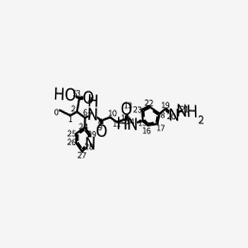 CCC(C(=O)O)C(NC(=O)CCC(=O)Nc1ccc(C=NN)cc1)c1cccnc1